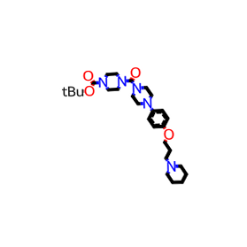 CC(C)(C)OC(=O)N1CCN(C(=O)N2CCN(c3ccc(OCCCN4CCCCC4)cc3)CC2)CC1